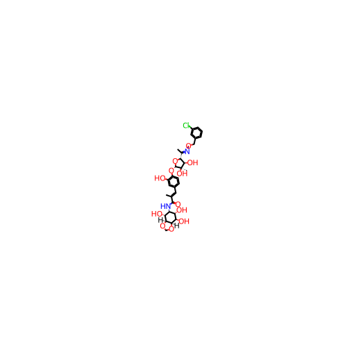 C/C(=C\c1ccc(O[C@@H]2O[C@H](/C(C)=N/OCc3cccc(Cl)c3)[C@@H](O)[C@@]2(C)O)c(O)c1)C(=O)N[C@@H]1[C@H](O)[C@@H](O)[C@H]2OCO[C@H]2[C@@H]1O